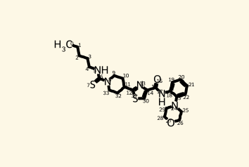 CCCCCNC(=S)N1CCC(c2nc(C(=O)Nc3ccccc3N3CCOCC3)cs2)CC1